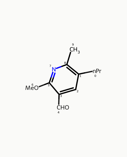 CCCc1cc(C=O)c(OC)nc1C